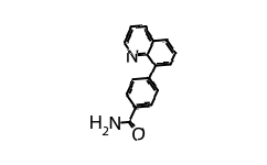 NC(=O)c1ccc(-c2cccc3cccnc23)cc1